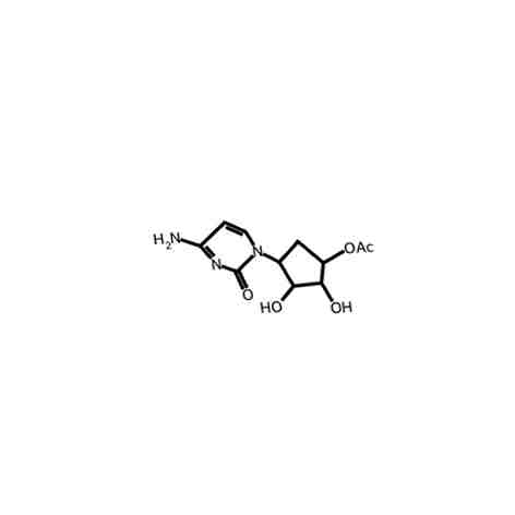 CC(=O)OC1CC(n2ccc(N)nc2=O)C(O)C1O